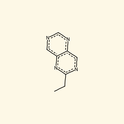 CCc1ncc2ncncc2n1